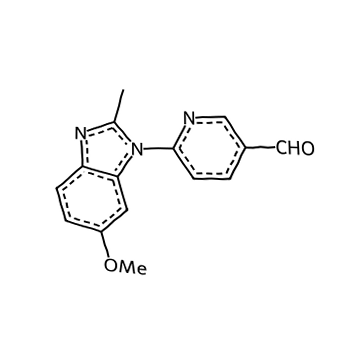 COc1ccc2nc(C)n(-c3ccc(C=O)cn3)c2c1